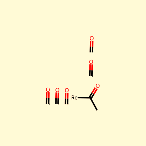 C[C](=O)[Re].[C]=O.[C]=O.[C]=O.[C]=O.[C]=O